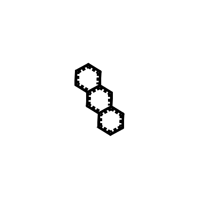 [c]1[c]c2cc3cc[c]cc3cc2cc1